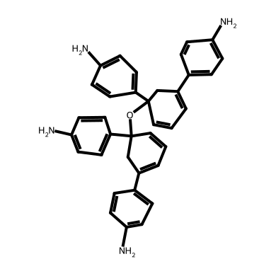 Nc1ccc(C2=CC=CC(OC3(c4ccc(N)cc4)C=CC=C(c4ccc(N)cc4)C3)(c3ccc(N)cc3)C2)cc1